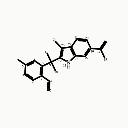 C=Cc1ccc(C)cc1C(C)(C)c1[nH]c2cc(C(=C)C)ccc2c1C